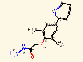 Cc1cc(-c2ccccn2)cc(C)c1OCC(=O)NN